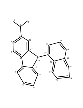 CC(C)c1ccc2c3ccccc3p(-c3cccc4ccccc34)c2c1